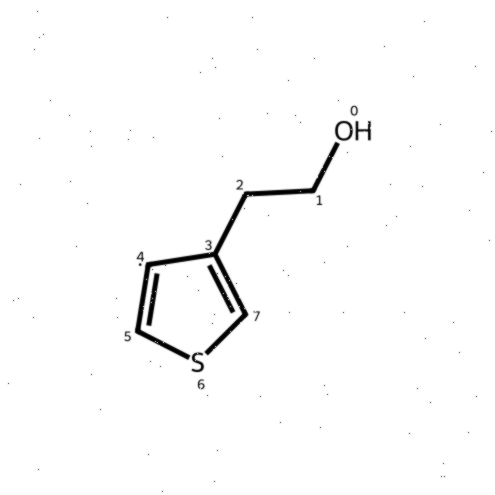 OCCc1[c]csc1